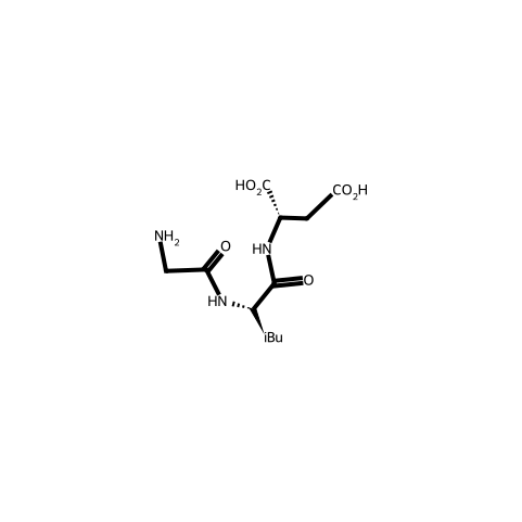 CC[C@H](C)[C@H](NC(=O)CN)C(=O)N[C@@H](CC(=O)O)C(=O)O